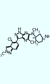 Cc1nc2c(-c3ccc4nn(C)cc4c3Cl)n[nH]c2nc1N(C)[C@@H]1CCC[C@@H](N)C1